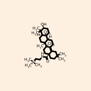 CC1(C)CC[C@]2(C(=O)NCC[N+](C)(C)C)CC[C@]3(C)C(=C2C1)CC[C@@H]1[C@@]2(C)CC[C@H](O)C(C)(C)[C@@H]2CC[C@]13C